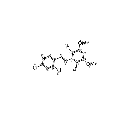 COc1cc(OC)c(F)c(/N=C/c2cnc(Cl)cc2Cl)c1F